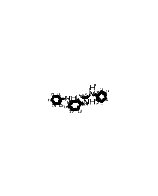 c1ccc(Nc2nc3c(Nc4ccccc4)cccc3[nH]2)cc1